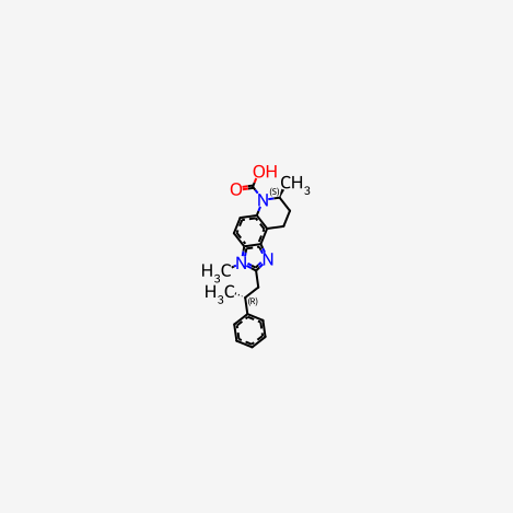 C[C@H](Cc1nc2c3c(ccc2n1C)N(C(=O)O)[C@@H](C)CC3)c1ccccc1